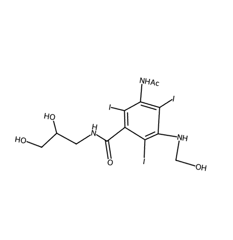 CC(=O)Nc1c(I)c(NCO)c(I)c(C(=O)NCC(O)CO)c1I